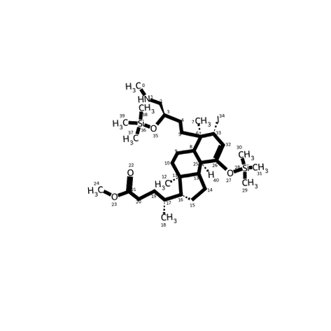 CNC[C@@H](CC[C@]1(C)C2CC[C@@]3(C)C(CC[C@@H]3[C@H](C)CCC(=O)OC)[C@@H]2C(O[Si](C)(C)C)=C[C@H]1I)O[Si](C)(C)C